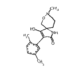 Cc1ccc(C)c(C2=C(O)C3(CCN(C)OC3)NC2=O)c1